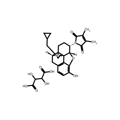 CC1=C(C)C(=O)N([C@H]2CC[C@@]3(O)[C@H]4Cc5ccc(O)c6c5[C@@]3(CCN4CC3CC3)[C@H]2O6)C1=O.O=C(O)C(O)C(O)C(=O)O